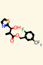 C=C(C(=O)OCc1cc(C(F)(F)F)ccc1F)C(O)c1nccs1